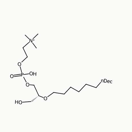 CCCCCCCCCCCCCCCCO[C@H](CO)COP(=O)(O)OCC[N+](C)(C)C